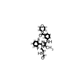 Cc1c(Nc2cccc(C(=O)N3CCOCC3)c2)nc(-c2c(F)cccc2F)n1CCNC=O